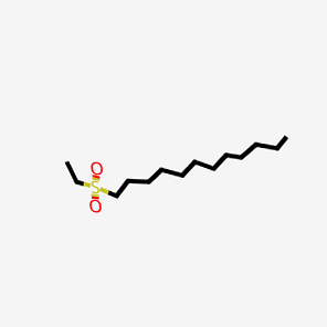 CCCCCCCCCCCCS(=O)(=O)CC